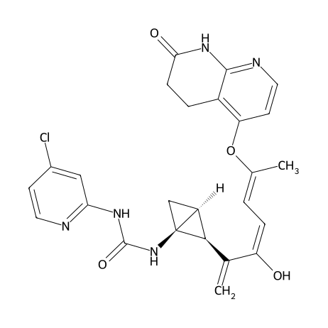 C=C(/C(O)=C\C=C(/C)Oc1ccnc2c1CCC(=O)N2)[C@@H]1[C@@H]2C[C@@]12NC(=O)Nc1cc(Cl)ccn1